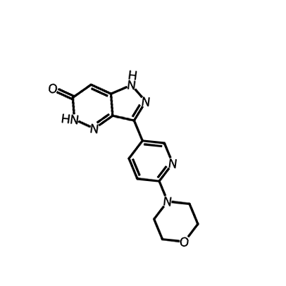 O=c1cc2[nH]nc(-c3ccc(N4CCOCC4)nc3)c2n[nH]1